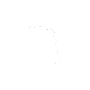 CCCCCCCCC/C=C\CCCCCCC=O